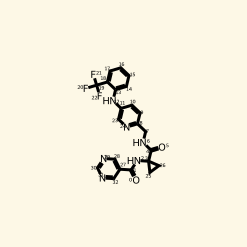 O=C(NC1(C(=O)NCc2ccc(Nc3ccccc3C(F)(F)F)cn2)CC1)c1cncnc1